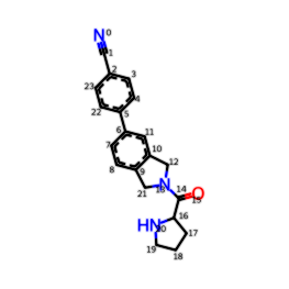 N#Cc1ccc(-c2ccc3c(c2)CN(C(=O)C2CCCN2)C3)cc1